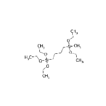 CCO[Si](C)(CCCC[Si](OCC)(OCC)OCC)OCC